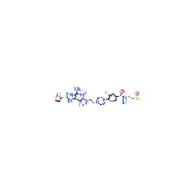 C[S+]([O-])CCNC(=O)c1ccc(N2CCN(CCn3cnc4c3nc(N)n3nc(-c5ccco5)nc43)CC2)c(F)c1